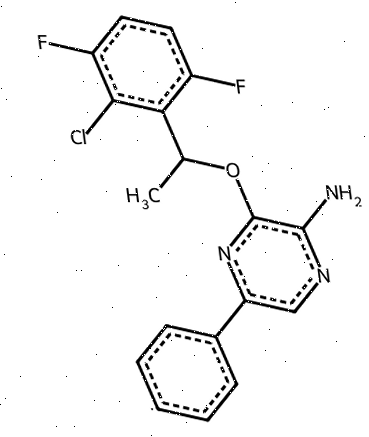 CC(Oc1nc(-c2cc[c]cc2)cnc1N)c1c(F)ccc(F)c1Cl